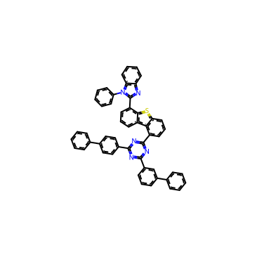 c1ccc(-c2ccc(-c3nc(-c4cccc(-c5ccccc5)c4)nc(-c4cccc5sc6c(-c7nc8ccccc8n7-c7ccccc7)cccc6c45)n3)cc2)cc1